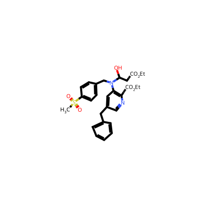 CCOC(=O)CC(O)N(Cc1ccc(S(C)(=O)=O)cc1)c1cc(Cc2ccccc2)cnc1C(=O)OCC